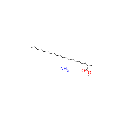 CCCCCCCCCCCCCCCCC=CC(C)C(=O)OC.N